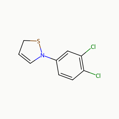 Clc1ccc(N2C=CCS2)cc1Cl